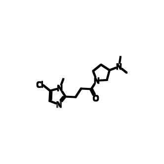 CN(C)C1CCN(C(=O)CCc2ncc(Cl)n2C)C1